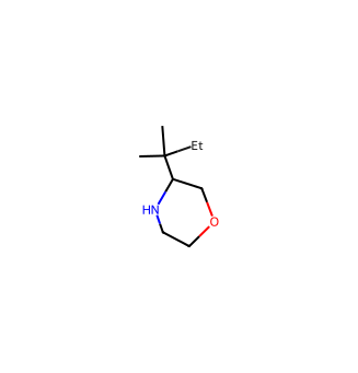 CCC(C)(C)C1COCCN1